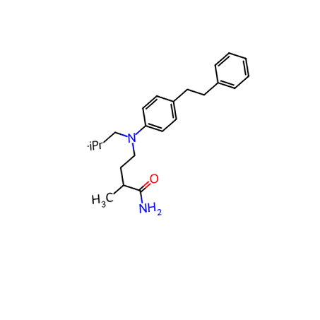 C[C](C)CN(CCC(C)C(N)=O)c1ccc(CCc2ccccc2)cc1